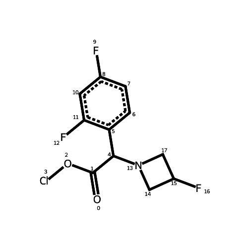 O=C(OCl)C(c1ccc(F)cc1F)N1CC(F)C1